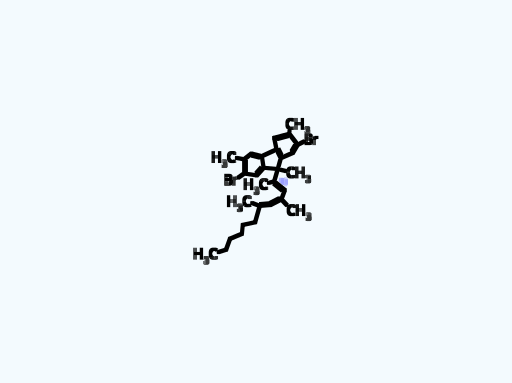 CCCCCCC(C)=C=C(C)/C=C(\C)C1(C)c2cc(Br)c(C)cc2-c2cc(C)c(Br)cc21